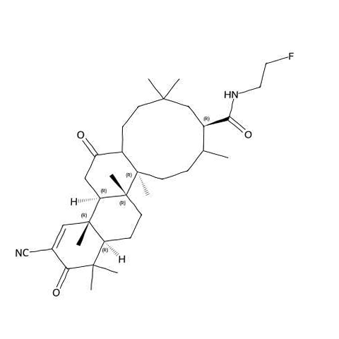 CC1CC[C@]2(C)C(CCC(C)(C)C[C@H]1C(=O)NCCF)C(=O)C[C@@H]1[C@@]3(C)C=C(C#N)C(=O)C(C)(C)[C@@H]3CC[C@]12C